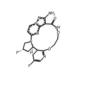 Nc1nn2ccc3nc2c1C(=O)NOCCOC1=NC=C(F)CC1[C@H]1C[C@H](F)CN31